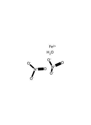 O.O=[N+]([O-])[O-].O=[N+]([O-])[O-].[Fe+2]